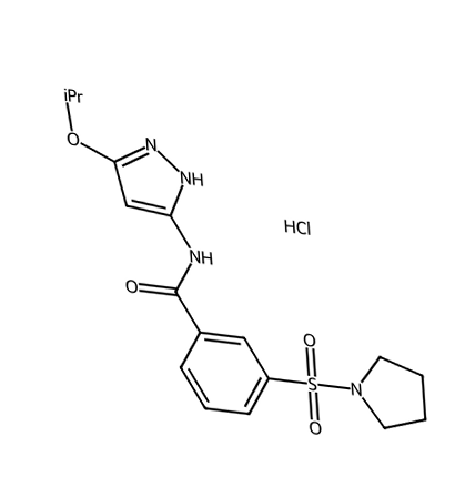 CC(C)Oc1cc(NC(=O)c2cccc(S(=O)(=O)N3CCCC3)c2)[nH]n1.Cl